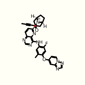 CC#CC(=O)N1[C@@H]2CC[C@H]1C[C@@H](c1ccc3ncnc(Nc4cc(C)c(Oc5ccn6ncnc6c5)cc4F)c3n1)C2